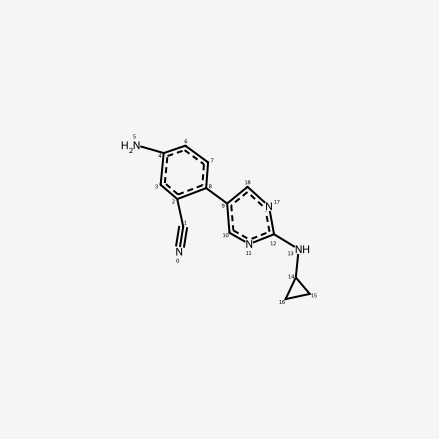 N#Cc1cc(N)ccc1-c1cnc(NC2CC2)nc1